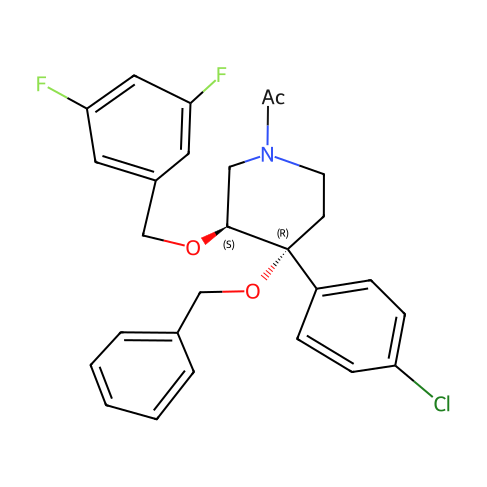 CC(=O)N1CC[C@@](OCc2ccccc2)(c2ccc(Cl)cc2)[C@@H](OCc2cc(F)cc(F)c2)C1